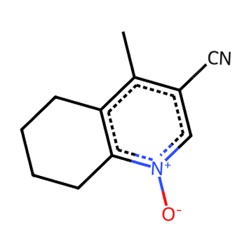 Cc1c(C#N)c[n+]([O-])c2c1CCCC2